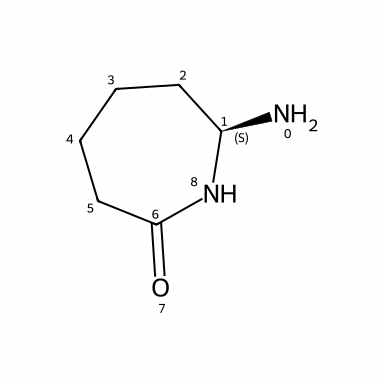 N[C@@H]1CCCCC(=O)N1